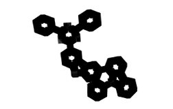 c1ccc(-c2nc(-c3ccccc3)nc(-c3ccc4oc5ccc(-c6cccc7c8ccccc8n(-c8ccccc8)c67)cc5c4c3)n2)cc1